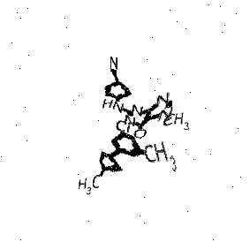 Cc1ccc(-c2cc(C)c(Oc3nc(Nc4ccc(C#N)cc4)nc4ncn(C)c34)c(Cl)c2)cc1